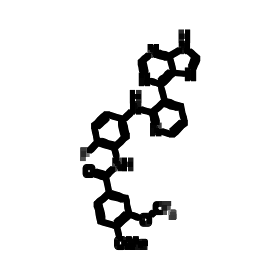 COc1ccc(C(=O)Nc2cc(Nc3ncccc3-c3ncnc4[nH]cnc34)ccc2F)cc1OC(F)(F)F